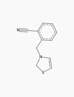 N#Cc1ccccc1CN1C=CSC1